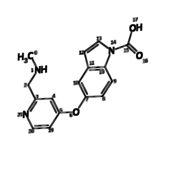 CNCc1cc(Oc2ccc3c(ccn3C(=O)O)c2)ccn1